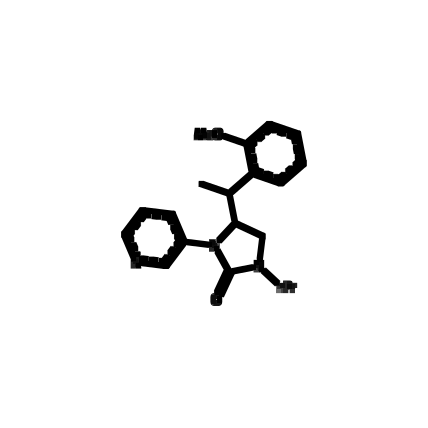 CCCN1CC(C(C)c2ccccc2OC)N(c2cccnc2)C1=O